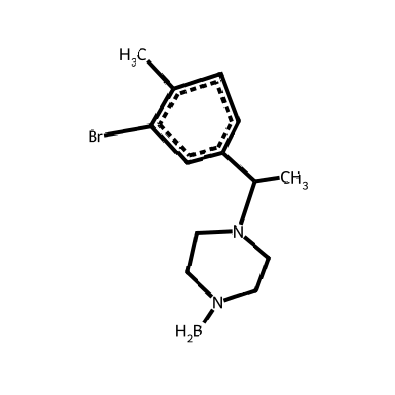 BN1CCN(C(C)c2ccc(C)c(Br)c2)CC1